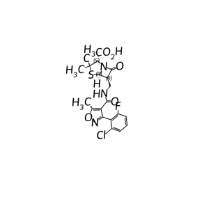 Cc1onc(-c2c(F)cccc2Cl)c1C(=O)NC[C@@H]1C(=O)N2[C@@H]1SC(C)(C)[C@@H]2C(=O)O